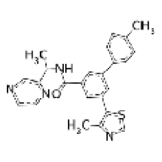 Cc1ccc(-c2cc(C(=O)NC(C)c3cnccn3)cc(-c3scnc3C)c2)cc1